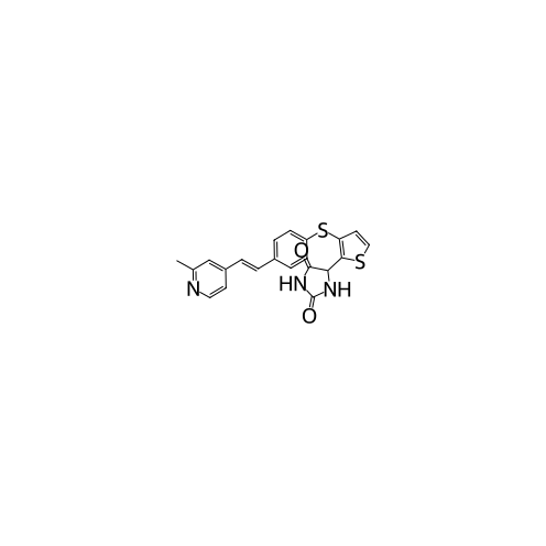 Cc1cc(/C=C/c2ccc(Sc3ccsc3C3NC(=O)NC3=O)cc2)ccn1